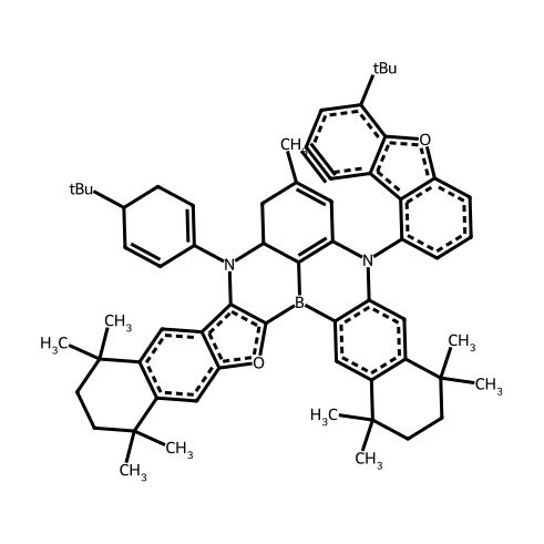 CC1=CC2=C3B(c4cc5c(cc4N2c2cccc4oc6c(C(C)(C)C)cc#cc6c24)C(C)(C)CCC5(C)C)c2oc4cc5c(cc4c2N(C2=CCC(C(C)(C)C)C=C2)C3C1)C(C)(C)CCC5(C)C